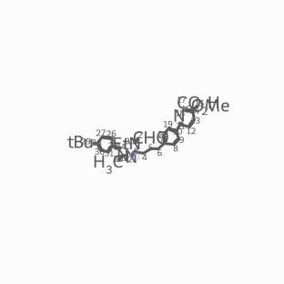 CCN(C=O)/C(CCCc1ccc(-c2ccc(OC)c(C(=O)O)n2)cc1)=N\N(C)Cc1ccc(C(C)(C)C)cc1